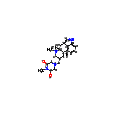 CN1C(=O)CN(CC2C[C@@H]3c4cccc5[nH]cc(c45)C[C@H]3N(C)C2)CC1=O